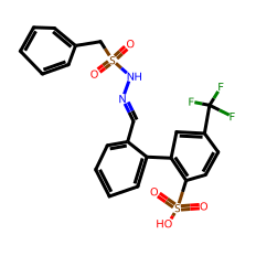 O=S(=O)(Cc1ccccc1)NN=Cc1ccccc1-c1cc(C(F)(F)F)ccc1S(=O)(=O)O